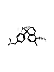 Cc1ccc2c(c1N)C=CNC2(N)c1ccc(CN(C)C)cc1